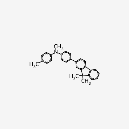 Cc1ccc(N(C)c2ccc(-c3ccc4c(c3)C(C)(C)c3ccccc3-4)cc2)cc1